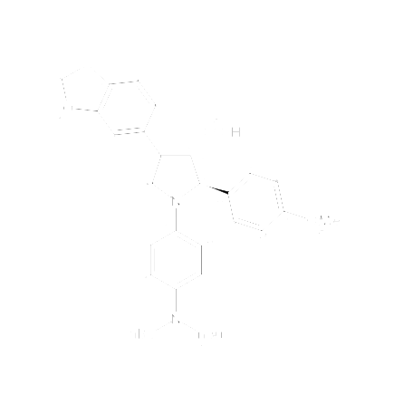 CCCCN(CCCC)c1ccc(N2CC(c3ccc4c(c3)OCO4)[C@H](C(=O)O)[C@H]2c2ccc(OC)cc2)cc1